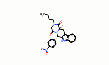 CCCCN1CC(=O)N2[C@@H](c3ccc([N+](=O)[O-])cc3)c3[nH]c4ccccc4c3C[C@H]2C1=O